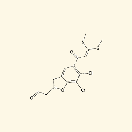 CSC(=CC(=O)c1cc2c(c(Cl)c1Cl)OC(CC=O)C2)SC